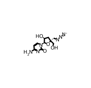 [N-]=[N+]=NC[C@@]1(CO)C[C@H](O)[C@H](n2ccc(N)nc2=O)O1